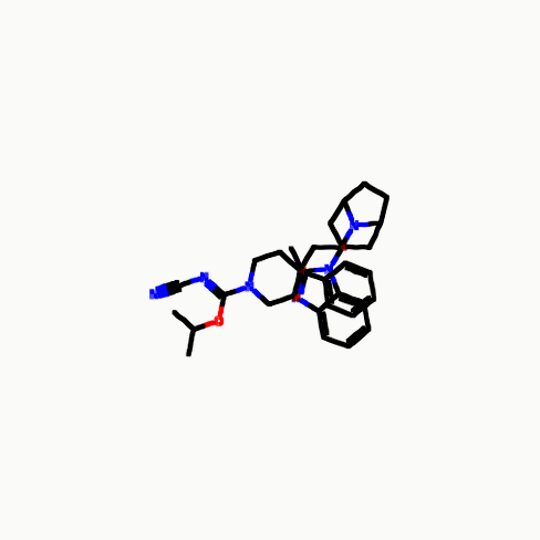 Cc1nc2ccccc2n1C1CC2CCC(C1)N2CCC1(c2ccccc2)CCN(C(=NC#N)OC(C)C)CC1